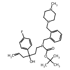 C=CCC(O)(CCN(Cc1ccccc1CN1CCN(C)CC1)C(=O)OC(C)(C)C)c1ccc(F)cc1